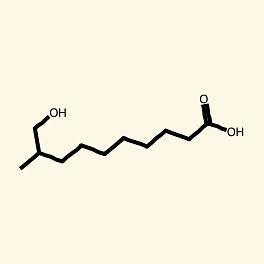 CC(CO)CCCCCCCC(=O)O